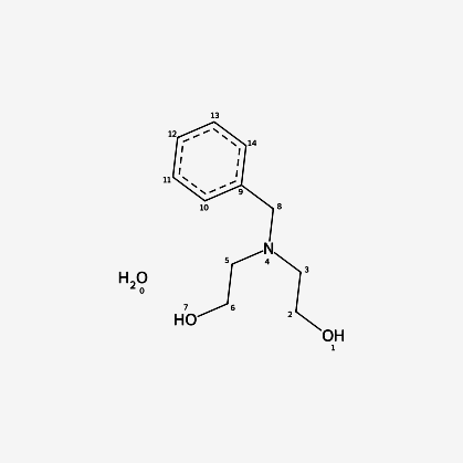 O.OCCN(CCO)Cc1ccccc1